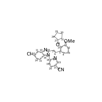 COc1cccc(/C=C/c2nc3cc(Cl)ccc3n2-c2ccc(C#N)cn2)c1OC1CCCC1